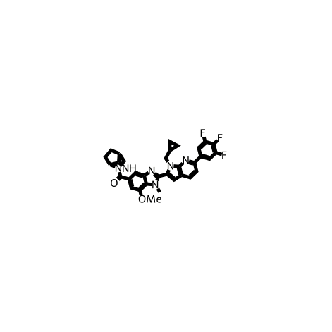 COc1cc(C(=O)N2CC3CCC2C3N)cc2nc(-c3cc4ccc(-c5cc(F)c(F)c(F)c5)nc4n3CC3CC3)n(C)c12